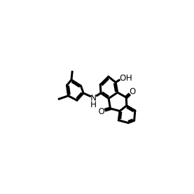 Cc1cc(C)cc(Nc2ccc(O)c3c2C(=O)c2ccccc2C3=O)c1